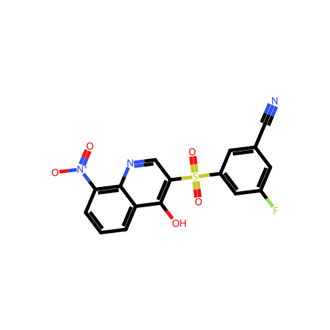 N#Cc1cc(F)cc(S(=O)(=O)c2cnc3c([N+](=O)[O-])cccc3c2O)c1